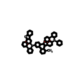 Cc1cccc2c3cc(N(c4ccc5oc6ccccc6c5c4)c4ccccc4-c4ccccc4)ccc3c3oc4cc(N(c5ccccc5)c5ccccc5-c5ccccc5)ccc4c3c12